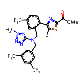 CCc1sc(C(=O)OC)nc1-c1ccc(C(F)(F)F)cc1CN(Cc1cc(C(F)(F)F)cc(C(F)(F)F)c1)c1nnn(C)n1